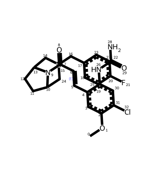 COc1cc(/C=C/C(=O)N2C3CCC2CN(Cc2ccc(F)cc2)C3)c(NC(N)=O)cc1Cl